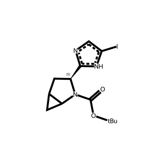 CC(C)(C)OC(=O)N1C2CC2C[C@H]1c1ncc(I)[nH]1